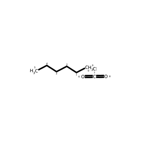 CCCCCC.O=C=O.[C]